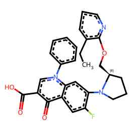 CCc1cccnc1OC[C@H]1CCCN1c1cc2c(cc1F)c(=O)c(C(=O)O)cn2-c1ccccc1